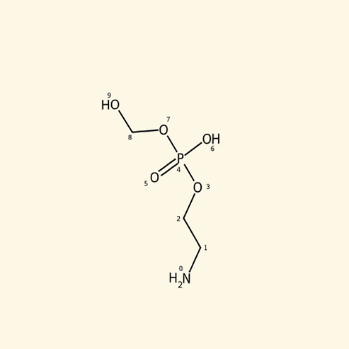 NCCOP(=O)(O)OCO